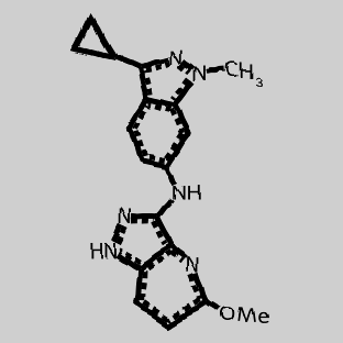 COc1ccc2[nH]nc(Nc3ccc4c(C5CC5)nn(C)c4c3)c2n1